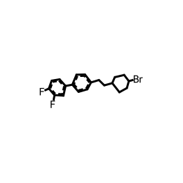 Fc1ccc(-c2ccc(CCC3CCC(Br)CC3)cc2)cc1F